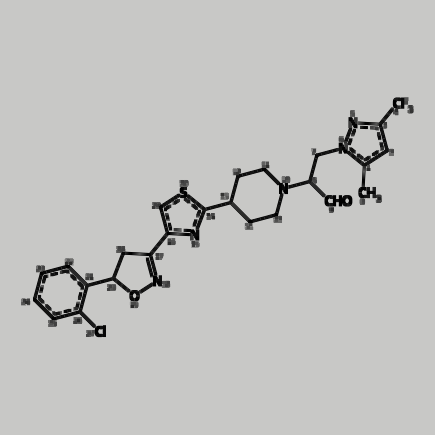 Cc1cc(C(F)(F)F)nn1CC(C=O)N1CCC(c2nc(C3=NOC(c4ccccc4Cl)C3)cs2)CC1